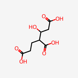 O=C(O)CCC(C(=O)O)C(O)CC(=O)O